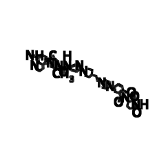 C[C@@H]1CN(c2ccc(C#N)c3ncccc23)[C@@H](C)CN1C(=O)Nc1ccc(N2CCC(CCN3CCN(c4ccc5c(c4)C(=O)N([C@@H]4CCC(=O)NC4=O)C5=O)CC3)CC2)nc1